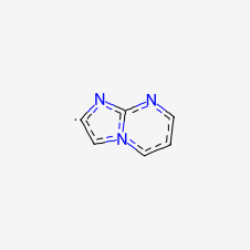 [c]1cn2cccnc2n1